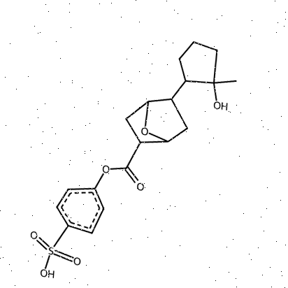 CC1(O)CCCC1C1CC2OC1CC2C(=O)Oc1ccc(S(=O)(=O)O)cc1